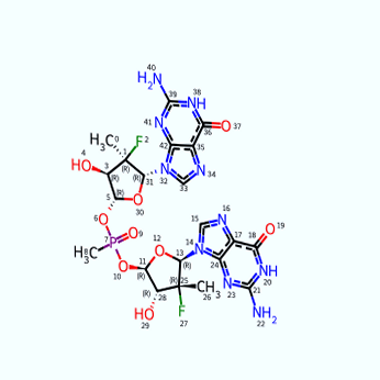 C[C@@]1(F)[C@H](O)[C@@H](OP(C)(=O)O[C@H]2O[C@@H](n3cnc4c(=O)[nH]c(N)nc43)[C@](C)(F)[C@@H]2O)O[C@H]1n1cnc2c(=O)[nH]c(N)nc21